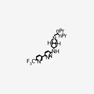 CCCC(CCC)CN1C[C@H]2C[C@H](Nc3ccc(-c4ccc(C(F)(F)F)nc4)nn3)C[C@H]2C1